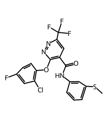 CSc1cccc(NC(=O)c2cc(C(F)(F)F)nnc2Oc2ccc(F)cc2Cl)c1